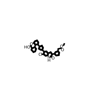 CCOC(=O)Cc1cccc(-c2cc3cc(-c4ccc(-c5ccccc5-c5ccccc5C(=O)O)cc4)c(Cl)cc3[nH]c2=O)c1